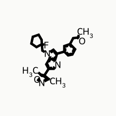 CC(=O)Cc1cccc(-c2cn(CC3(F)CCCCC3)c3cc(-c4c(C)noc4C)cnc23)c1